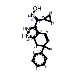 CC1(c2ccccc2)C=Cc2c(/C(=N/O)C3CC3)n[nH]c2C1